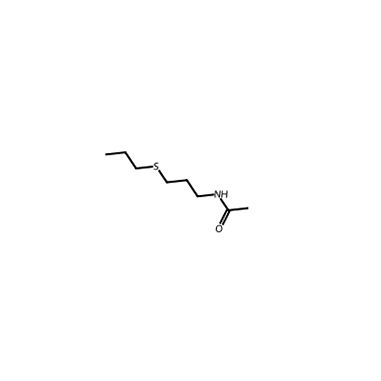 CCCSCCCNC(C)=O